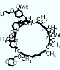 CO[C@@H]1C[C@H](CC2[C@H]3CCCN4C(=O)C(=O)[C@]5(O)O[C@@H](CC[C@H]5C)C[C@@H](OC[C@@H]5COCCO5)/C(C)=C/C=C/C=C/[C@@H](C)C[C@@H](C)C(=O)[C@H](OC)[C@H](O)/C(C)=C/[C@@H](C)C(=O)C[C@@H]2OC(=O)C34)CC[C@H]1OCCO